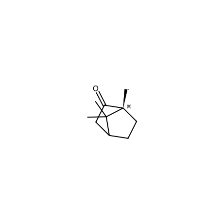 [CH2][C@]12CCC(CC1=O)C2(C)C